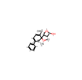 CCOC1(C2COB(O)C2)C(OC)=CC=C(c2ccccc2)[C@H]1C#N